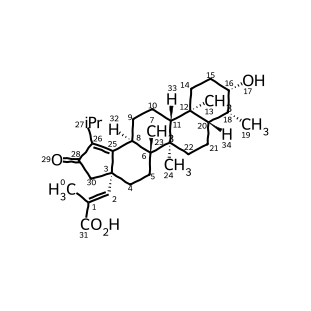 C/C(=C\[C@@]12CC[C@]3(C)[C@H](CC[C@@H]4[C@@]5(C)CC[C@H](O)[C@H](C)[C@@H]5CC[C@]43C)C1=C(C(C)C)C(=O)C2)C(=O)O